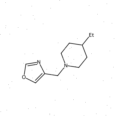 CCC1CCN(Cc2cocn2)CC1